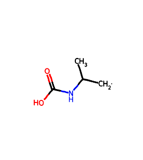 [CH2]C(C)NC(=O)O